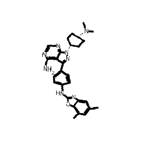 Cc1cc(C)c2oc(Nc3ccc(-c4nn([C@H]5CC[C@@H](N(C)C)CC5)c5ncnc(N)c45)cc3)nc2c1